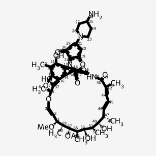 CO[C@H]1/C=C\O[C@@]2(C)Oc3c(C)c(O)c4c(=O)c(c5oc6cc(N7CCC(N)CC7)cc(=O)c6nc5c4c3=C2O)NC(=O)/C(C)=C/C=C/[C@H](C)[C@H](O)[C@@H](C)[C@@H](O)[C@@H](C)[C@H](OC(C)=O)[C@@H]1C